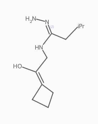 CC(C)C/C(=N/N)NCC(O)=C1CCC1